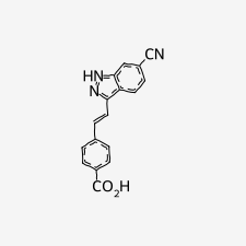 N#Cc1ccc2c(C=Cc3ccc(C(=O)O)cc3)n[nH]c2c1